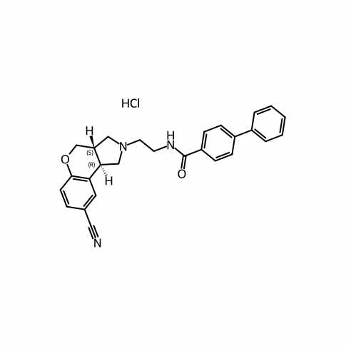 Cl.N#Cc1ccc2c(c1)[C@@H]1CN(CCNC(=O)c3ccc(-c4ccccc4)cc3)C[C@H]1CO2